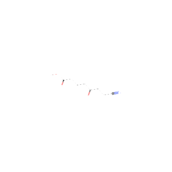 COC(=O)CCCC(=O)CCC#N